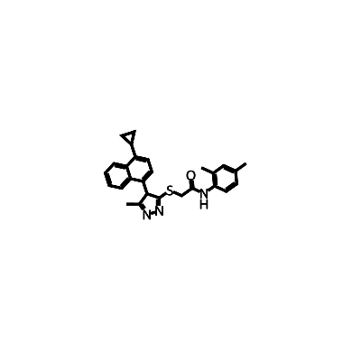 CC1=NN=C(SCC(=O)Nc2ccc(C)cc2C)C1c1ccc(C2CC2)c2ccccc12